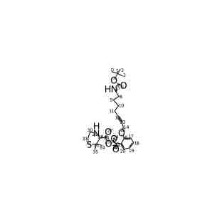 CC(C)(C)OC(=O)NCCCCC#CCOc1ccccc1S(=O)(=O)OC(=O)C1NCCSC1(C)C